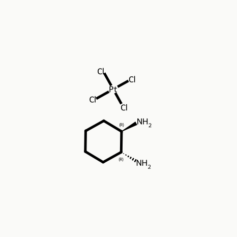 N[C@@H]1CCCC[C@H]1N.[Cl][Pt]([Cl])([Cl])[Cl]